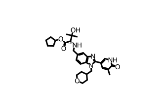 Cc1cc(-c2nc3cc(CN[C@H](C(=O)OC4CCCC4)C(C)(C)O)ccc3n2CC2CCOCC2)c[nH]c1=O